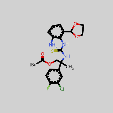 CC(C)(C)C(=O)OCC(C)(NC(=S)Nc1c(N)cccc1C1OCCO1)c1ccc(F)c(Cl)c1